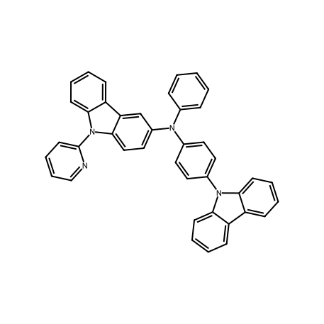 c1ccc(N(c2ccc(-n3c4ccccc4c4ccccc43)cc2)c2ccc3c(c2)c2ccccc2n3-c2ccccn2)cc1